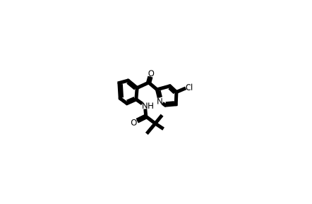 CC(C)(C)C(=O)Nc1ccccc1C(=O)c1cc(Cl)ccn1